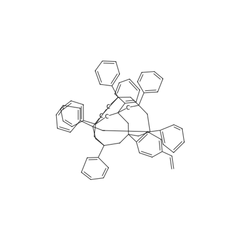 C=Cc1ccc(C23CC4(c5ccccc5)CC5(c6ccccc6)CC6(c7ccccc7)CC(c7ccccc7)(C4)CC(c4ccccc4)(CC(c4ccccc4)(C6)CC(c4ccccc4)(C5)C2)C3)cc1